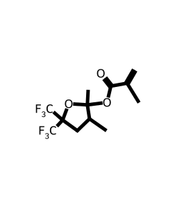 C=C(C)C(=O)OC1(C)OC(C(F)(F)F)(C(F)(F)F)CC1C